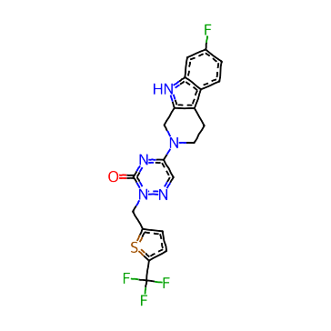 O=c1nc(N2CCc3c([nH]c4cc(F)ccc34)C2)cnn1Cc1ccc(C(F)(F)F)s1